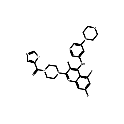 Cc1c(N2CCN(C(=O)c3cnco3)CC2)nc2cc(F)cc(F)c2c1Nc1cncc(N2CCOCC2)c1